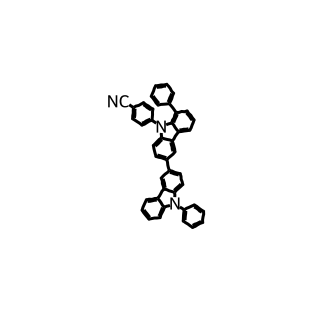 N#Cc1ccc(-n2c3ccc(-c4ccc5c(c4)c4ccccc4n5-c4ccccc4)cc3c3cccc(-c4ccccc4)c32)cc1